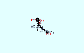 C/C(=C/CC/C(C)=C/CC[C@H](CC(=O)c1cc(O)ccc1O)C(=O)O)CO